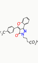 O=C(O)CCCn1nc2c3ccccc3oc(-c3ccc(C(F)(F)F)cc3)c-2c1=O